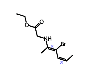 C/C=C\C(Br)=C(/C)NCC(=O)OCC